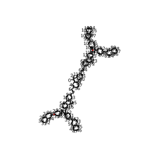 CC1(C)c2cc(/C=C/c3ccc4c(c3)C(C)(C)c3cc(N(c5ccc(-c6ccc7ccccc7c6)cc5)c5ccc(-c6ccc7ccccc7c6)cc5)ccc3-4)ccc2-c2ccc(/C=C/c3ccc4c(c3)C(C)(C)c3cc(N(c5ccc(-c6ccc7ccccc7c6)cc5)c5ccc(-c6ccc7ccccc7c6)cc5)ccc3-4)cc21